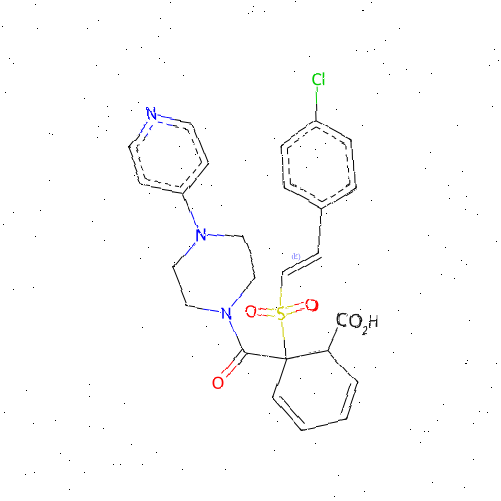 O=C(O)C1C=CC=CC1(C(=O)N1CCN(c2ccncc2)CC1)S(=O)(=O)/C=C/c1ccc(Cl)cc1